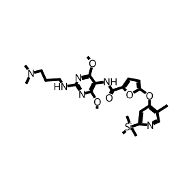 COc1nc(NCCCN(C)C)nc(OC)c1NC(=O)c1ccc(Oc2cc([Si](C)(C)C)ncc2C)o1